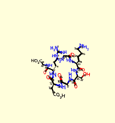 N=C(N)NCCC[C@H](NC(=O)[C@H](CC(=O)O)NC(=O)CNC(=O)[C@H](CO)NC(=O)[C@H](CCCCN)NC(=O)CN)C(=O)NCC(=O)O